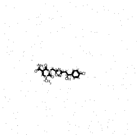 Cn1cc(C(N)=O)c(=O)n(Cc2nc(C[C@H](O)c3ccc(Cl)cc3)no2)c1=O